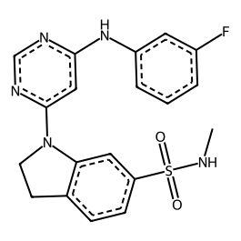 CNS(=O)(=O)c1ccc2c(c1)N(c1cc(Nc3cccc(F)c3)ncn1)CC2